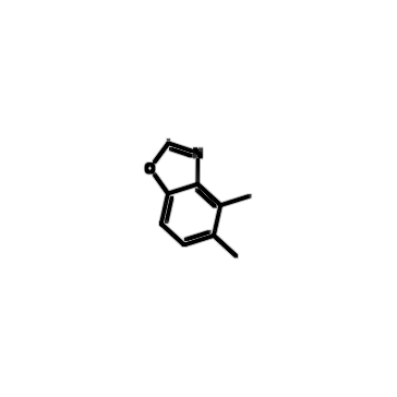 Cc1ccc2o[c]nc2c1C